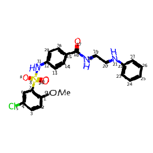 COc1ccc(Cl)cc1S(=O)(=O)Nc1ccc(C(=O)NCCNc2ccccc2)cc1